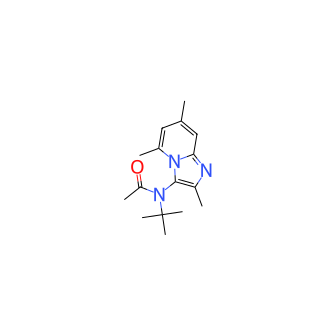 CC(=O)N(c1c(C)nc2cc(C)cc(C)n12)C(C)(C)C